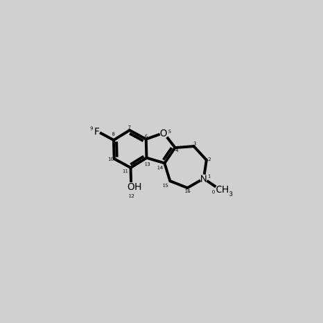 CN1CCc2oc3cc(F)cc(O)c3c2CC1